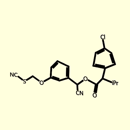 CC(C)C(C(=O)OC(C#N)c1cccc(OCSC#N)c1)c1ccc(Cl)cc1